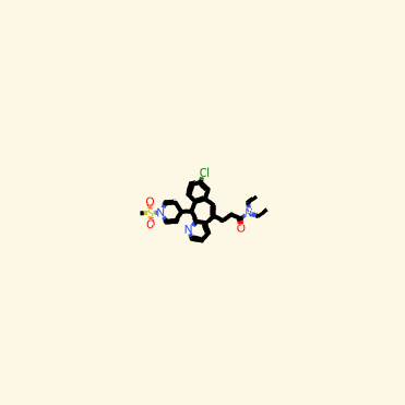 CCN(CC)C(=O)CCC1=Cc2cc(Cl)ccc2C(C2CCN(S(C)(=O)=O)CC2)c2ncccc21